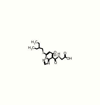 CCC(CC)CSc1cc(O)c(C(=O)NCC(=O)O)c2ncnn12